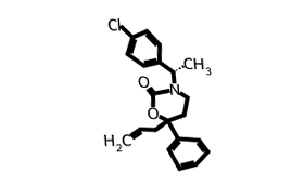 C=CCC1(c2ccccc2)CCN([C@@H](C)c2ccc(Cl)cc2)C(=O)O1